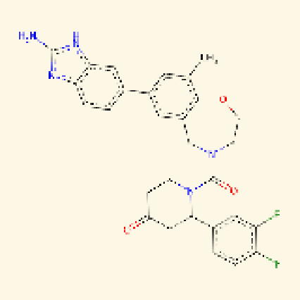 Cc1cc(-c2ccc3nc(N)[nH]c3c2)cc2c1OCCN(C(=O)N1CCC(=O)CC1c1ccc(F)c(F)c1)C2